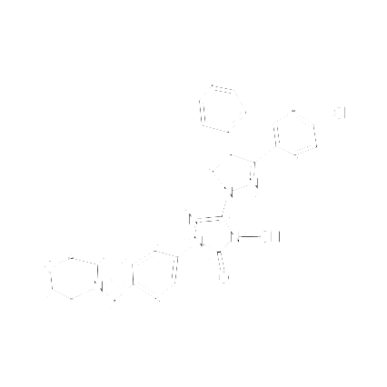 Cn1c(N2C[C@H](c3ccccc3)C(c3ccc(Cl)cc3)=N2)nn(-c2ccc(CN3CCOCC3)cc2)c1=O